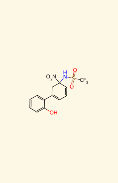 O=[N+]([O-])C1(NS(=O)(=O)C(F)(F)F)C=CC=C(c2ccccc2O)C1